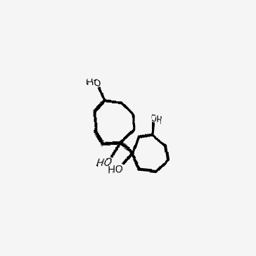 OC1CCCC(O)(C2(O)CCCCC(O)C2)CCC1